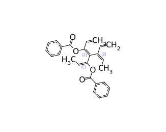 C=CC(=C/C)/C(=C(\C=C)OC(=O)c1ccccc1)C(=C\C)/OC(=O)c1ccccc1